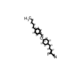 CCCCCc1ccc(COC2CCC(CCC=C(F)C#N)CC2)cc1